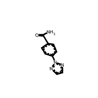 NC(=O)c1ccc(-n2nccn2)cc1